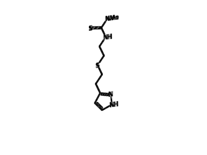 CNC(=S)NCCSCCc1cc[nH]n1